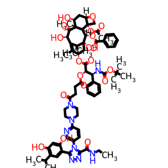 CCNC(=O)c1nnc(-c2cc(C(C)C)c(O)cc2O)n1-c1ccc(N2CCN(C(=O)CCC(=O)O[C@@H](C(=O)O[C@H]3CC4(O)[C@@H](OC(=O)c5ccccc5)[C@@H]5[C@]6(OC(C)=O)CO[C@@H]6C[C@H](O)[C@@]5(C)C(=O)[C@H](O)C(=C3C)C4(C)C)[C@@H](NC(=O)OC(C)(C)C)c3ccccc3)CC2)nc1